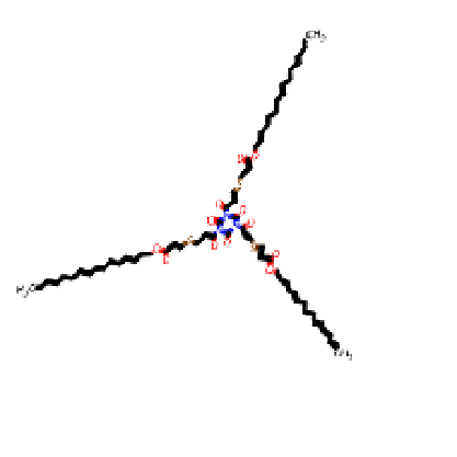 CCCCCCCCCCCCCCCCOC(=O)CCSCCC(=O)n1c(=O)n(C(=O)CCSCCC(=O)OCCCCCCCCCCCCCCCC)c(=O)n(C(=O)CCSCCC(=O)OCCCCCCCCCCCCCCCC)c1=O